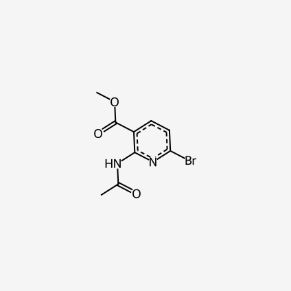 COC(=O)c1ccc(Br)nc1NC(C)=O